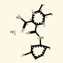 Cc1ccc(F)cc1NC(=O)c1nc(C)c(C)nc1C(=O)O.Cl